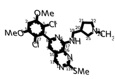 COc1cc(OC)c(Cl)c(-c2cc3cnc(SC)nc3c(NCC3CCN(C)C3)n2)c1Cl